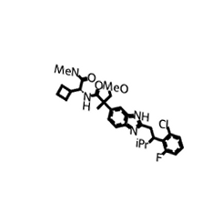 CNC(=O)[C@H](NC(=O)C(C)(COC)c1ccc2nc(CC(c3c(F)cccc3Cl)C(C)C)[nH]c2c1)C1CCC1